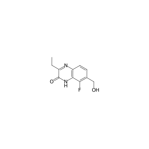 CCc1nc2ccc(CO)c(F)c2[nH]c1=O